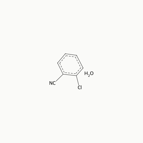 N#Cc1ccccc1Cl.O